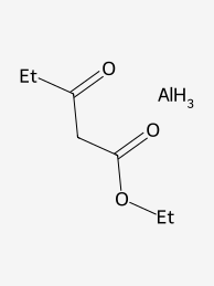 CCOC(=O)CC(=O)CC.[AlH3]